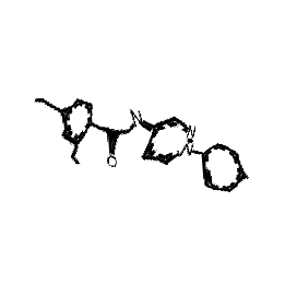 Cc1ccc(C(=O)N=c2ccn(-c3ccccc3)nc2)c(C)c1